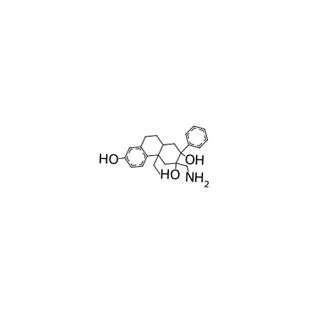 CCC12CC(O)(CN)C(O)(c3ccccc3)CC1CCc1cc(O)ccc12